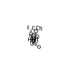 N#Cc1ccc(N2C(=O)[C@@H]3[C@H]4[C@H]5C[C@H]5C(CN4C(=O)OCc4ccccc4)[C@@H]3C2=O)cc1C(F)(F)F